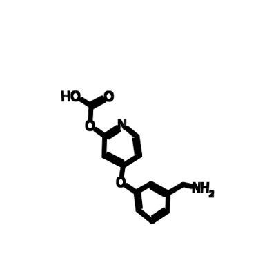 NCc1cccc(Oc2ccnc(OC(=O)O)c2)c1